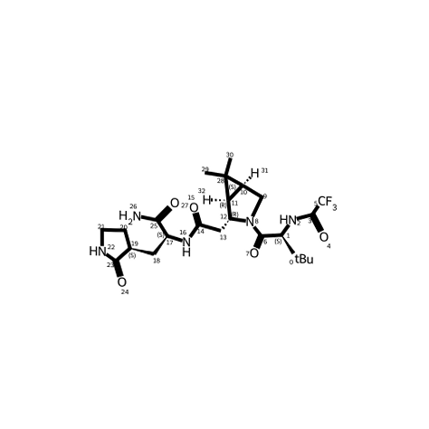 CC(C)(C)[C@H](NC(=O)C(F)(F)F)C(=O)N1C[C@H]2[C@@H]([C@H]1CC(=O)N[C@@H](C[C@@H]1CCNC1=O)C(N)=O)C2(C)C